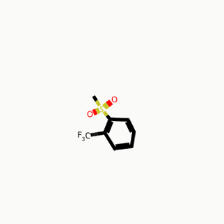 CS(=O)(=O)c1ccc[c]c1C(F)(F)F